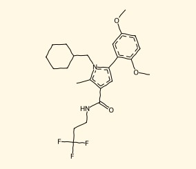 COc1ccc(OC)c(-c2cc(C(=O)NCCC(F)(F)F)c(C)n2CC2CCCCC2)c1